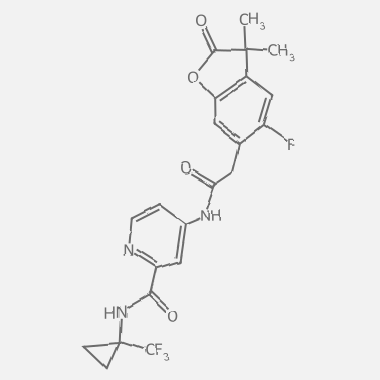 CC1(C)C(=O)Oc2cc(CC(=O)Nc3ccnc(C(=O)NC4(C(F)(F)F)CC4)c3)c(F)cc21